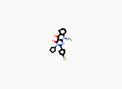 Cn1c2ccccc2c(=O)c2c(=O)n(C3CCCC3)c(-c3ccc(Cl)cc3)nc21